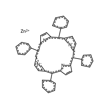 C1=Cc2nc1c(-c1ccccc1)c1ccc([n-]1)c(-c1ccccc1)c1nc(c(-c3ccccc3)c3ccc([n-]3)c2-c2ccccc2)C=C1.[Zn+2]